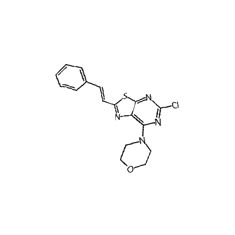 Clc1nc(N2CCOCC2)c2nc(/C=C/c3ccccc3)sc2n1